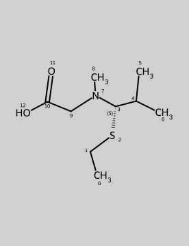 CCS[C@@H](C(C)C)N(C)CC(=O)O